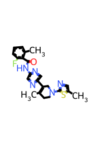 CC1=C(c2cnc(NC(=O)c3c(C)cccc3F)cn2)CN(c2ncc(C)s2)CC1